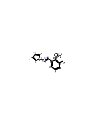 Cc1cccc(/C=N/n2cccc2)c1O